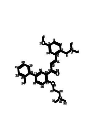 COc1ccc(CN(C)C)c(C=CC(=O)c2cc(-c3ccccc3C)ccc2OCCN(C)C)c1